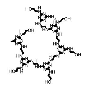 Cc1nc(NCCO)nc(NCCNc2nc(NCCO)nc(NCCNc3nc(NCCO)nc(NCCNc4nc(NCCO)nc(NCCNc5nc(NCCO)nc(NCCNc6nc(N)nc(NCCO)n6)n5)n4)n3)n2)n1